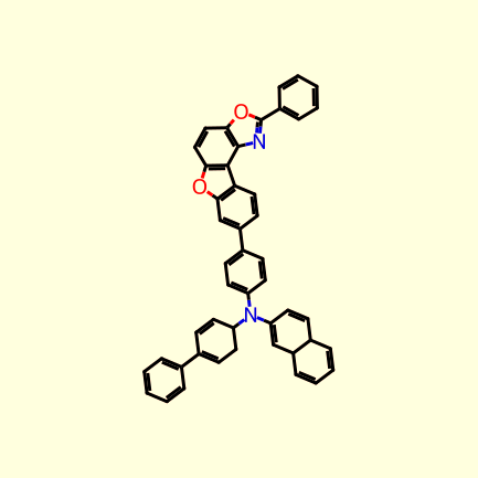 C1=CC2C=CC(N(c3ccc(-c4ccc5c(c4)oc4ccc6oc(-c7ccccc7)nc6c45)cc3)C3C=CC(c4ccccc4)=CC3)=CC2C=C1